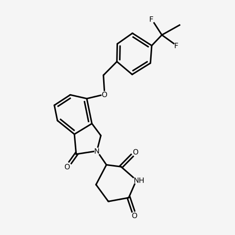 CC(F)(F)c1ccc(COc2cccc3c2CN(C2CCC(=O)NC2=O)C3=O)cc1